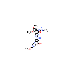 CCNc1nc(-c2cc(OC)cc(OC)c2)c(-c2ccnc(Nc3ccc(N4CCN(CCOC)CC4)c(C(=O)O)c3)n2)o1